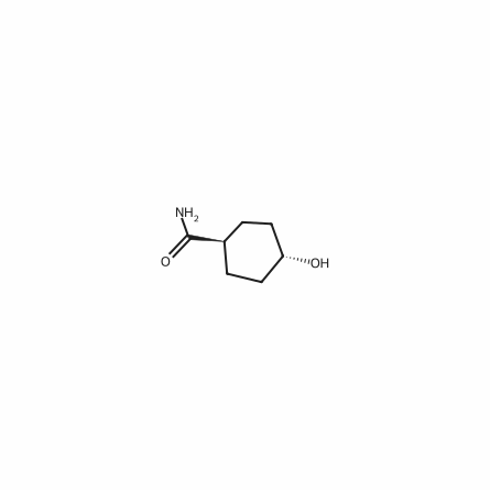 NC(=O)[C@H]1CC[C@H](O)CC1